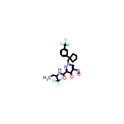 CCC(NC(=O)c1nn(CC2(c3cccc(C(F)(F)F)c3)CCCC2)cc(N=O)c1=O)C(F)(F)F